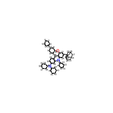 c1ccc(-c2ccc3c(c2)Oc2cc(C45CC6CC(CC(C6)C4)C5)cc4c2B3c2ccc(N(c3ccccc3)c3ccccc3)cc2N4c2ccccc2)cc1